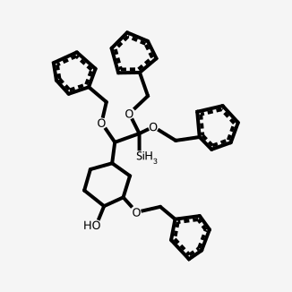 OC1CCC(C(OCc2ccccc2)C([SiH3])(OCc2ccccc2)OCc2ccccc2)CC1OCc1ccccc1